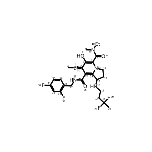 C/B=C1/C(O)=C(C(=O)N(C)CC)N2CCC(NCCC(C)(F)F)C2=C1C(=O)NCc1ccc(F)cc1F